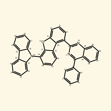 c1ccc(-c2nc(-c3cccc4oc5c(-n6c7ccccc7c7ccccc76)cccc5c34)nc3ccccc23)cc1